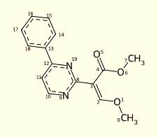 COC=C(C(=O)OC)c1nccc(-c2ccccc2)n1